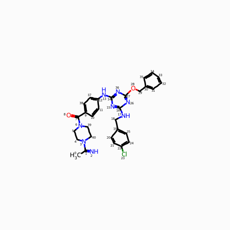 CC(=N)N1CCN(C(=O)c2ccc(Nc3nc(NCc4ccc(Cl)cc4)nc(OCc4ccccc4)n3)cc2)CC1